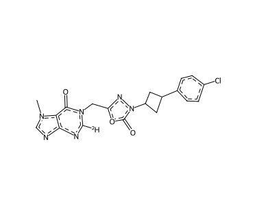 [2H]c1nc2ncn(C)c2c(=O)n1Cc1nn(C2CC(c3ccc(Cl)cc3)C2)c(=O)o1